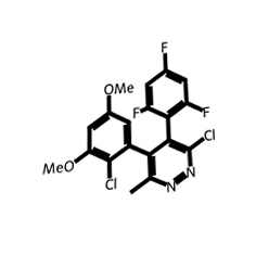 COc1cc(OC)c(Cl)c(-c2c(C)nnc(Cl)c2-c2c(F)cc(F)cc2F)c1